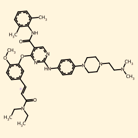 CCN(CC)C(=O)/C=C/c1ccc(OC)c(Oc2nc(Nc3ccc(N4CCN(CCN(C)C)CC4)cc3)ncc2C(=O)Nc2c(C)cccc2C)c1